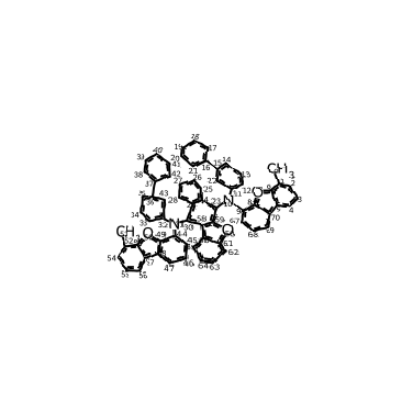 Cc1cccc2c1oc1c(N(c3cccc(-c4ccccc4)c3)c3c4ccccc4c(N(c4cccc(-c5ccccc5)c4)c4cccc5c4oc4c(C)cccc45)c4c3oc3ccccc34)cccc12